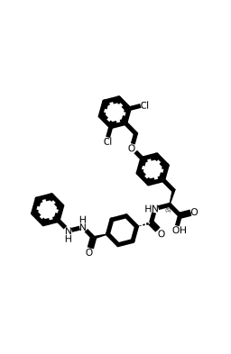 O=C(O)[C@H](Cc1ccc(OCc2c(Cl)cccc2Cl)cc1)NC(=O)[C@H]1CC[C@H](C(=O)NNc2ccccc2)CC1